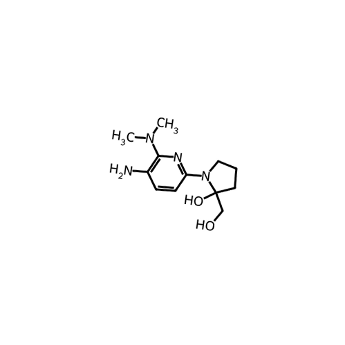 CN(C)c1nc(N2CCCC2(O)CO)ccc1N